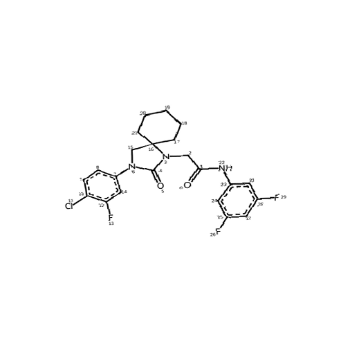 O=C(CN1C(=O)N(c2ccc(Cl)c(F)c2)CC12CCCCC2)Nc1cc(F)cc(F)c1